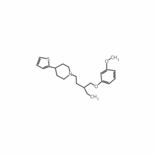 CCC(CCN1CCC(c2cccs2)CC1)COc1cccc(OC)c1